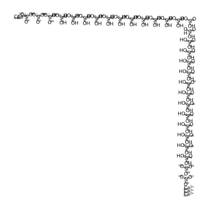 O=[Si](O)O.O=[Si](O)O.O=[Si](O)O.O=[Si](O)O.O=[Si](O)O.O=[Si](O)O.O=[Si](O)O.O=[Si](O)O.O=[Si](O)O.O=[Si](O)O.O=[Si](O)O.O=[Si](O)O.O=[Si](O)O.O=[Si](O)O.O=[Si](O)O.O=[Si](O)O.O=[Si](O)O.O=[Si](O)O.O=[Si](O)O.O=[Si](O)O.O=[Si](O)O.O=[Si](O)O.O=[Si](O)O.O=[Si](O)O.O=[Si](O)O.O=[Si]([O-])[O-].O=[Si]([O-])[O-].O=[Si]([O-])[O-].O=[Si]([O-])[O-].O=[Si]([O-])[O-].[Ca+2].[Ca+2].[Ca+2].[Ca+2].[Ca+2]